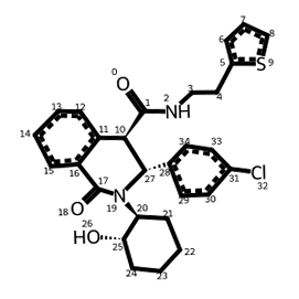 O=C(NCCc1cccs1)[C@@H]1c2ccccc2C(=O)N([C@H]2CCCC[C@@H]2O)[C@H]1c1ccc(Cl)cc1